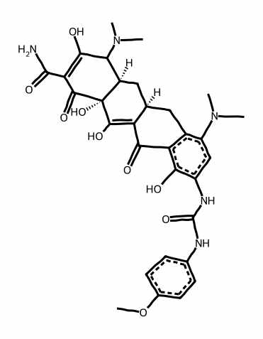 COc1ccc(NC(=O)Nc2cc(N(C)C)c3c(c2O)C(=O)C2=C(O)[C@@]4(O)C(=O)C(C(N)=O)=C(O)C(N(C)C)[C@H]4C[C@H]2C3)cc1